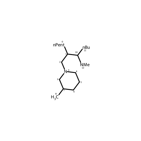 CCCCCC(CN1CCCC(C)C1)C(CCCC)NC